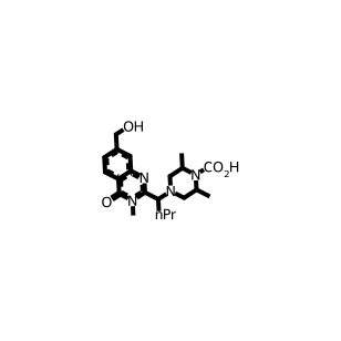 CCCC(c1nc2cc(CO)ccc2c(=O)n1C)N1CC(C)N(C(=O)O)C(C)C1